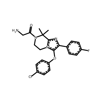 CC1(C)c2nc(-c3ccc(F)cc3)c(Oc3ccc(Cl)cc3)n2CCN1C(=O)CN